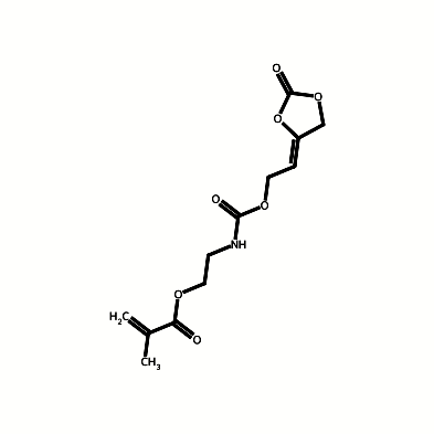 C=C(C)C(=O)OCCNC(=O)OCC=C1COC(=O)O1